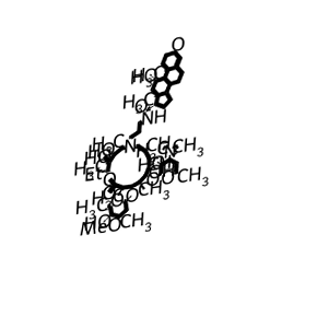 CC[C@H]1OC(=O)[C@H](C)[C@@H](O[C@@H]2C[C@](C)(OC)[C@H](O)C(C)O2)[C@H](C)[C@@H](O[C@@H]2O[C@H](C)C[C@@H](N(C)C)[C@H]2O)[C@](C)(O)C[C@@H](C)CN(CCCNC(=O)[C@H]2CCC3C4CCC5=CC(=O)CC[C@]5(C)C4[C@@H](O)C[C@@]32C)[C@H](C)[C@@H](O)[C@]1(C)O